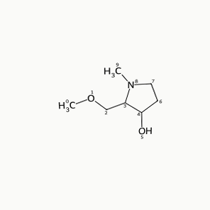 COCC1C(O)CCN1C